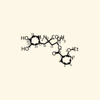 CCOc1ncccc1C(=O)O[C@@H](C)CC(N)(Cc1ccc(O)c(O)c1)C(=O)O